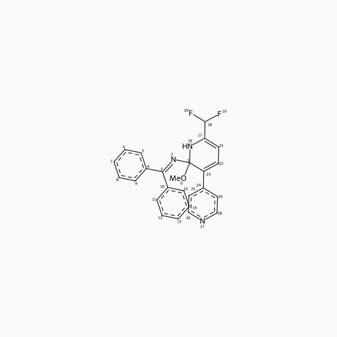 COC1(N=C(c2ccccc2)c2ccccc2)NC(C(F)F)=CC=C1c1ccncc1